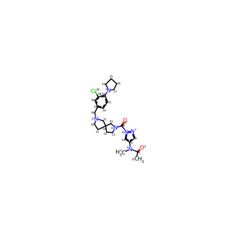 CC(=O)N(C)c1cnn(C(=O)N2CCC3(CCN(Cc4ccc(N5CCCC5)c(Cl)c4)C3)C2)c1